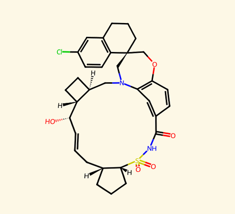 O=C1NS(=O)(=O)[C@@H]2CCC[C@@H]2C/C=C/[C@H](O)[C@@H]2CC[C@H]2CN2C[C@@]3(CCCc4cc(Cl)ccc43)COc3ccc1cc32